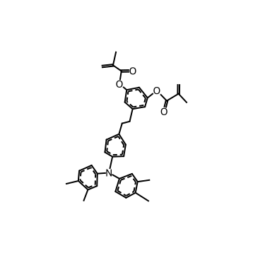 C=C(C)C(=O)Oc1cc(CCc2ccc(N(c3ccc(C)c(C)c3)c3ccc(C)c(C)c3)cc2)cc(OC(=O)C(=C)C)c1